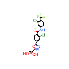 O=C(Nc1ccc(C(F)(F)F)c(Cl)c1)c1ccc(-c2nnc([C@@H](O)CO)o2)cc1Cl